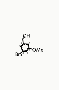 COc1cc(Br)cc([CH]O)c1